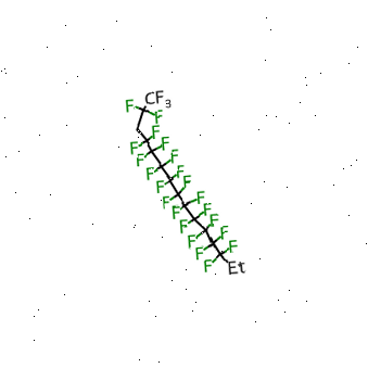 CCC(F)(F)C(F)(F)C(F)(F)C(F)(F)C(F)(F)C(F)(F)C(F)(F)C(F)(F)C(F)(F)C(F)(F)CC(F)(F)C(F)(F)F